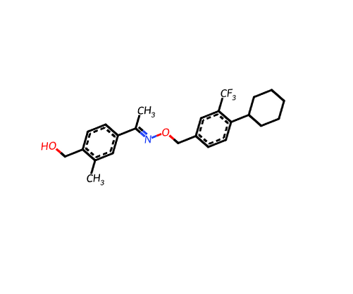 C/C(=N\OCc1ccc(C2CCCCC2)c(C(F)(F)F)c1)c1ccc(CO)c(C)c1